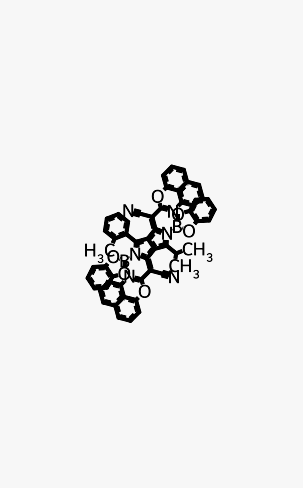 Cc1ccccc1-c1c2/c(=C(\C#N)C3=Nc4cccc5cccc(c45)O3)n(B3Oc4ccccc4O3)c(C(C)C)c2/c(=C(\C#N)C2=Nc3cccc4cccc(c34)O2)n1B1Oc2ccccc2O1